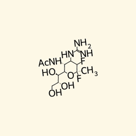 CC(=O)N[C@@H]1C(NC(=N)N)C(F)[C@@](C)(F)OC1[C@H](O)[C@H](O)CO